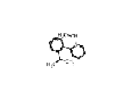 CC.CC(C)c1ccccc1-c1ccccn1